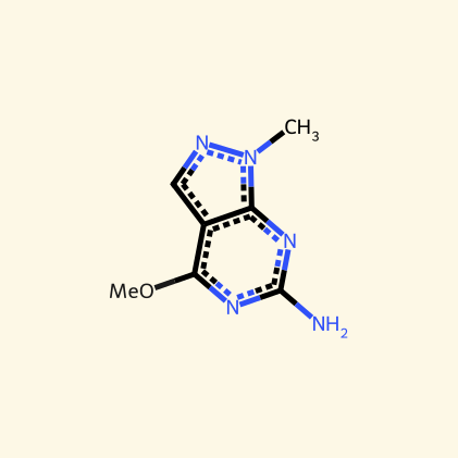 COc1nc(N)nc2c1cnn2C